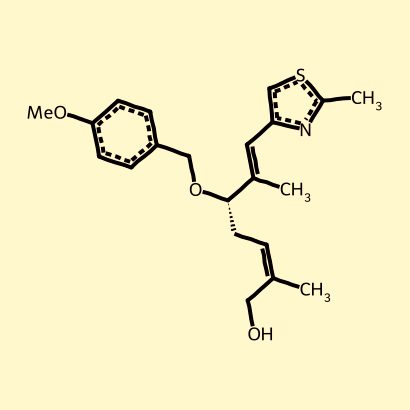 COc1ccc(CO[C@@H](CC=C(C)CO)C(C)=Cc2csc(C)n2)cc1